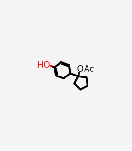 CC(=O)OC1(C2C=CC(O)=CC2)CCCC1